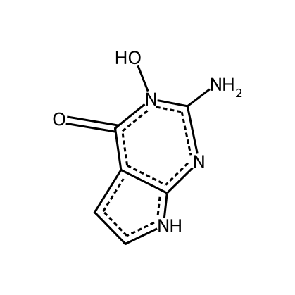 Nc1nc2[nH]ccc2c(=O)n1O